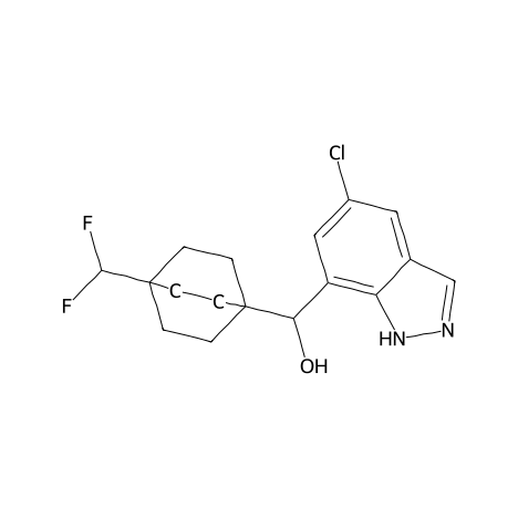 OC(c1cc(Cl)cc2cn[nH]c12)C12CCC(C(F)F)(CC1)CC2